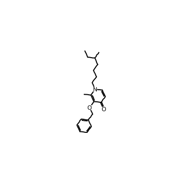 CCC(C)CCCCn1ccc(=O)c(OCc2ccccc2)c1C